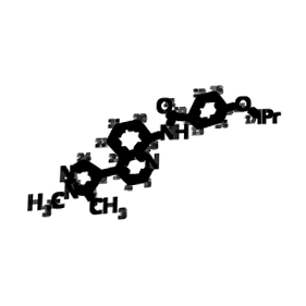 Cc1c(-c2ccnc3c(NC(=O)c4ccc(OC(C)C)cc4)cccc23)cnn1C